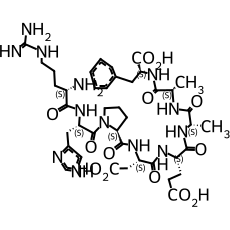 C[C@H](NC(=O)[C@H](C)NC(=O)[C@H](CCC(=O)O)NC(=O)[C@H](CC(=O)O)NC(=O)[C@@H]1CCCN1C(=O)[C@H](Cc1c[nH]cn1)NC(=O)[C@@H](N)CCCNC(=N)N)C(=O)N[C@@H](Cc1ccccc1)C(=O)O